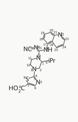 CC(C)C1CN(c2ncc(C(=O)O)s2)CCN1/C(=N\C#N)Nc1cccc2ncccc12